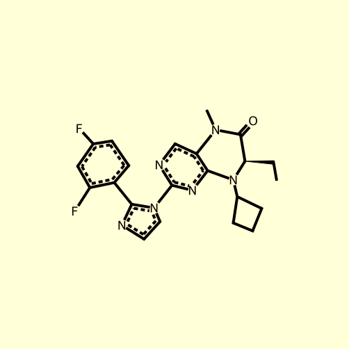 CC[C@@H]1C(=O)N(C)c2cnc(-n3ccnc3-c3ccc(F)cc3F)nc2N1C1CCC1